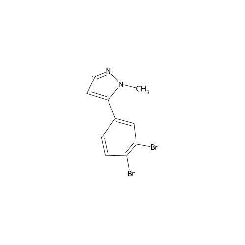 Cn1n[c]cc1-c1ccc(Br)c(Br)c1